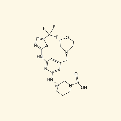 O=C(O)N1CCC[C@H](Nc2cc(CN3CCOCC3)cc(Nc3ncc(C(F)(F)F)s3)n2)C1